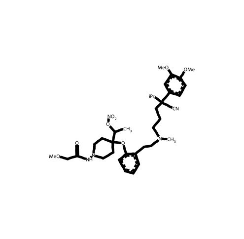 COCC(=O)NN1CCC(Oc2ccccc2CCN(C)CCCC(C#N)(c2ccc(OC)c(OC)c2)C(C)C)(C(C)O[N+](=O)[O-])CC1